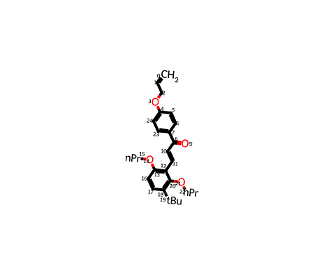 C=CCOc1ccc(C(=O)C=Cc2c(OCCC)ccc(C(C)(C)C)c2OCCC)cc1